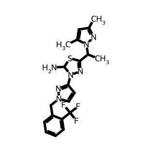 Cc1cc(C)n(C(C)C2=NN(c3ccn(Cc4ccccc4C(F)(F)F)n3)C(N)S2)n1